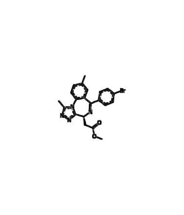 COC(=O)C[C@@H]1N=C(c2ccc(Br)cc2)c2cc(C)ccc2-n2c(C)nnc21